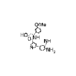 COc1cccc(C(CCO)NC(=O)c2cncc(-c3ccc(N)c(C=N)c3)c2)c1